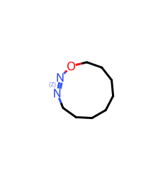 C1CCCCO/N=N\CCC1